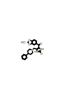 Cl.O=C(c1ccc2c(c1)OCO2)c1[nH]c(=O)[nH]c1CN1CCC(c2ccccc2)CC1